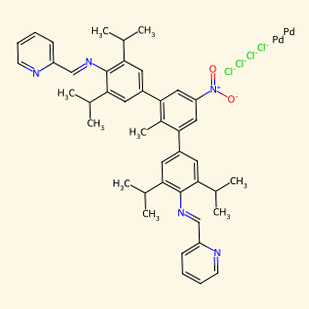 Cc1c(-c2cc(C(C)C)c(N=Cc3ccccn3)c(C(C)C)c2)cc([N+](=O)[O-])cc1-c1cc(C(C)C)c(N=Cc2ccccn2)c(C(C)C)c1.[Cl-].[Cl-].[Cl-].[Cl-].[Pd].[Pd]